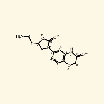 NCCC1CN(c2ncc3c(n2)NC(=O)CO3)C(=O)O1